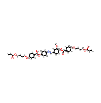 C=CC(=O)OCCCCOc1ccc(C(=O)Oc2ccc(/N=C/c3ccc(OC(=O)c4ccc(OCCCCOC(=O)C=C)cc4)c(OC)c3)cc2)cc1